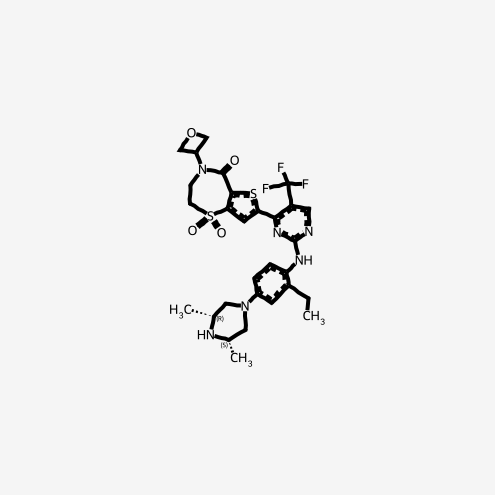 CCc1cc(N2C[C@@H](C)N[C@@H](C)C2)ccc1Nc1ncc(C(F)(F)F)c(-c2cc3c(s2)C(=O)N(C2COC2)CCS3(=O)=O)n1